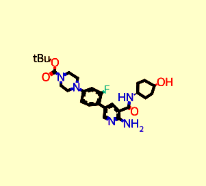 CC(C)(C)OC(=O)N1CCN(c2ccc(-c3cnc(N)c(C(=O)N[C@H]4CC[C@H](O)CC4)c3)c(F)c2)CC1